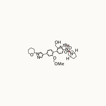 COCOc1cc(-c2cnn(C3CCCCO3)c2)ccc1-c1ccc(N(C)C2C[C@H]3CC[C@@H](C2)N3C(=O)OC(C)(C)C)nc1CO